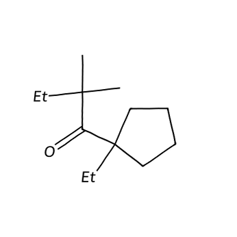 CCC(C)(C)C(=O)C1(CC)CCCC1